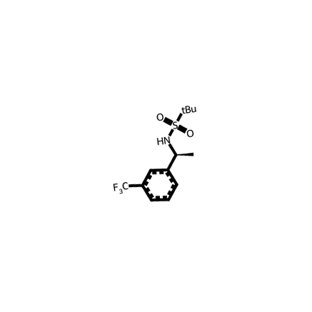 C[C@H](NS(=O)(=O)C(C)(C)C)c1cccc(C(F)(F)F)c1